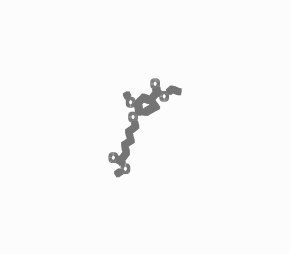 CCOC(=O)c1ccc(OCCCCCC(=O)OC)c(OC)c1